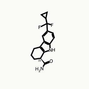 NC(=O)[C@H]1CCCc2c1[nH]c1ccc(C(F)(F)C3CC3)cc21